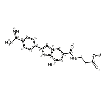 CC(C)(C)OC(=O)CCNC(=O)c1ccc2nc(-c3ccc(C(=N)N)cc3)cn2c1.I